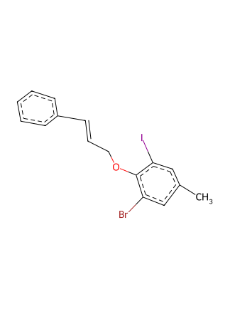 Cc1cc(Br)c(OCC=Cc2ccccc2)c(I)c1